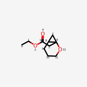 CCOC(=O)CC12CC1CCCO2